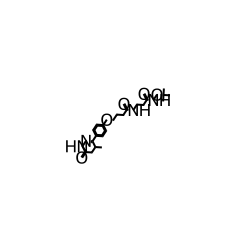 CC1CC(=O)NN=C1c1ccc(OCCCC(=O)NCCC(=O)NOC(C)(C)C)cc1